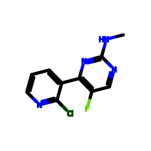 CNc1ncc(F)c(-c2cccnc2Cl)n1